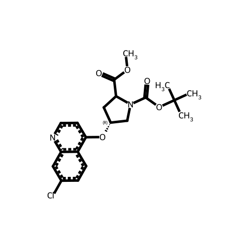 COC(=O)C1C[C@@H](Oc2ccnc3cc(Cl)ccc23)CN1C(=O)OC(C)(C)C